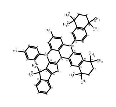 Cc1cc2c3c(c1)N(c1ccc(C(C)(C)C)cc1)c1c(sc4c1C(C)(C)c1ccccc1-4)B3c1cc3c(cc1N2c1ccc2c(c1)C(C)(C)CCC2(C)C)C(C)(C)CCC3(C)C